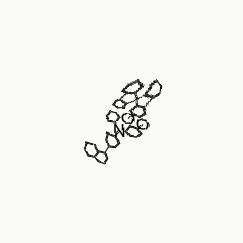 c1ccc(N(c2ccc(-c3cccc4ccccc34)cc2)c2cccc3c2Oc2cc4c(cc2O3)-c2ccccc2C42c3ccccc3-c3ccccc32)cc1